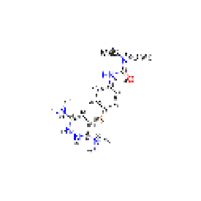 CON(SC)C(=O)Nc1ccc(Sc2cc(N(C)C)nnc2N(C)C)cc1